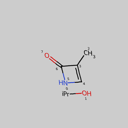 CC(C)O.CC1=CNC1=O